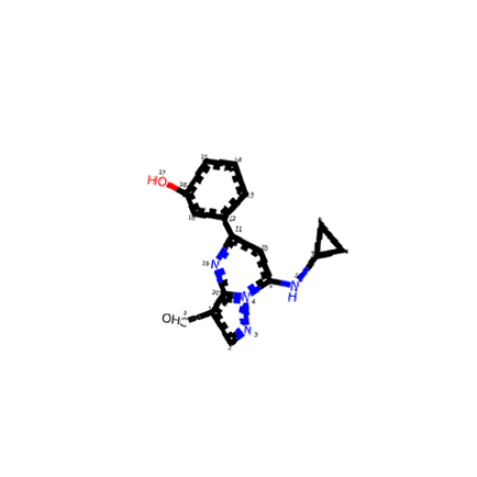 O=Cc1cnn2c(NC3CC3)cc(-c3cccc(O)c3)nc12